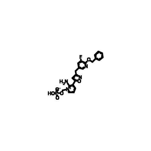 Nc1c(-c2cc(Cc3cnc(OCc4ccccc4)c(F)c3)no2)ccc[n+]1COP(=O)([O-])O